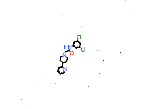 O=C(CN1CCC(c2ccccn2)CC1)Nc1cc(Cl)cc(Cl)c1